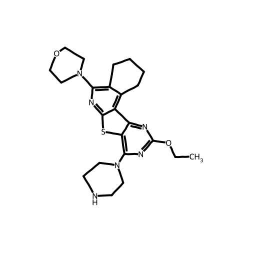 CCOc1nc(N2CCNCC2)c2sc3nc(N4CCOCC4)c4c(c3c2n1)CCCC4